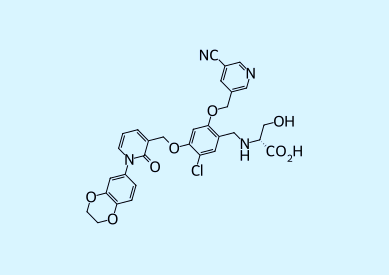 N#Cc1cncc(COc2cc(OCc3cccn(-c4ccc5c(c4)OCCO5)c3=O)c(Cl)cc2CN[C@H](CO)C(=O)O)c1